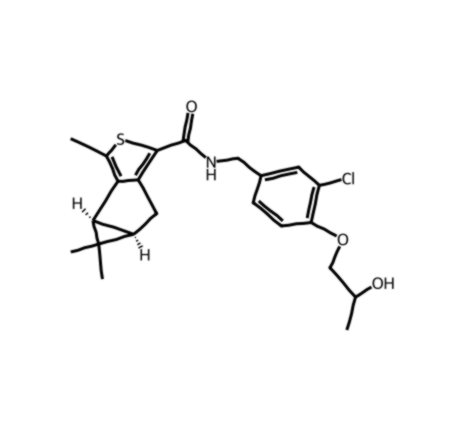 Cc1sc(C(=O)NCc2ccc(OCC(C)O)c(Cl)c2)c2c1[C@H]1[C@@H](C2)C1(C)C